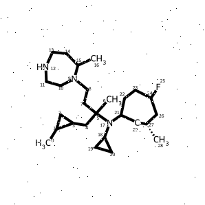 CC1CC1CC(C)(CCN1CCNCCC1C)N(C1CC1)C1CCC(F)C[C@H](C)C1